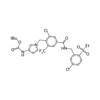 CCS(=O)(=O)c1ccc(Cl)cc1CNC(=O)c1cc(Cl)c(Cn2ccc(NC(=O)OC(C)(C)C)c2)c(C(F)(F)F)c1